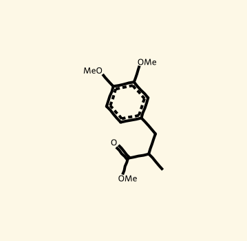 COC(=O)C(C)Cc1ccc(OC)c(OC)c1